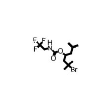 CC(C)CC(CC(C)(C)Br)OC(=O)NCC(F)(F)F